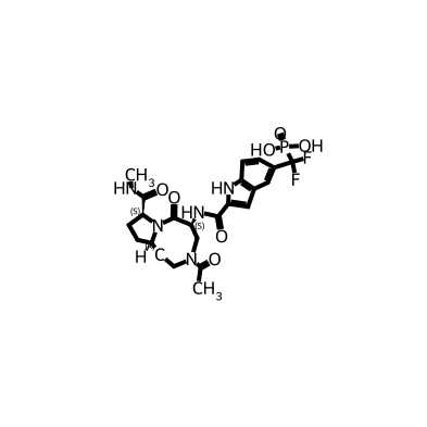 CNC(=O)[C@@H]1CC[C@@H]2CCN(C(C)=O)C[C@H](NC(=O)c3cc4cc(C(F)(F)P(=O)(O)O)ccc4[nH]3)C(=O)N21